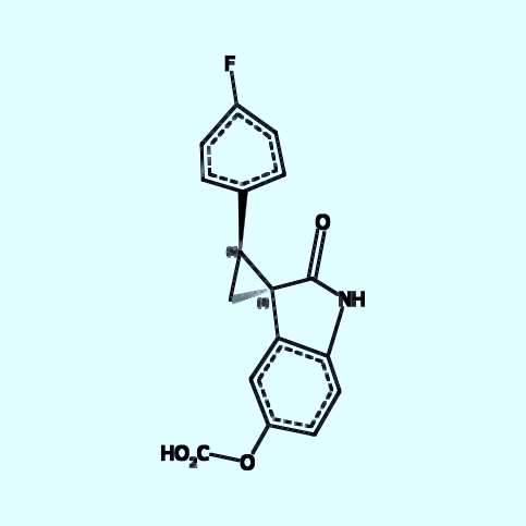 O=C(O)Oc1ccc2c(c1)[C@]1(C[C@H]1c1ccc(F)cc1)C(=O)N2